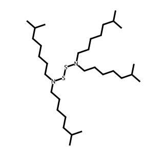 CC(C)CCCCCN(CCCCCC(C)C)SSN(CCCCCC(C)C)CCCCCC(C)C